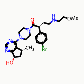 COCCNCC[C@@H](C(=O)N1CCN(c2ncnc3c2[C@H](C)C[C@H]3O)CC1)c1ccc(Br)cc1